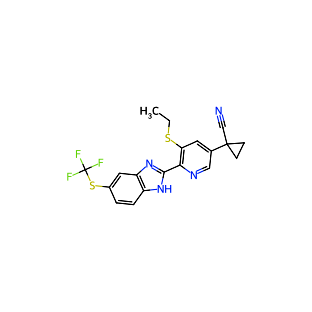 CCSc1cc(C2(C#N)CC2)cnc1-c1nc2cc(SC(F)(F)F)ccc2[nH]1